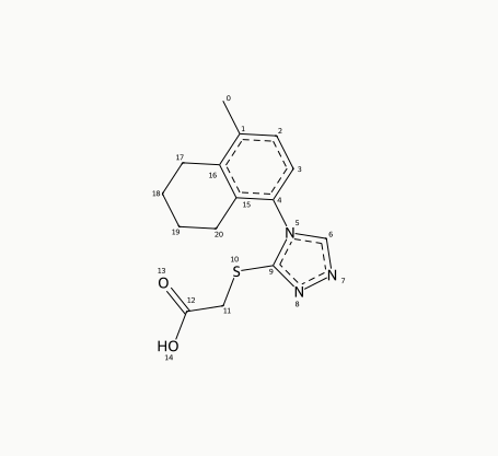 Cc1ccc(-n2cnnc2SCC(=O)O)c2c1CCCC2